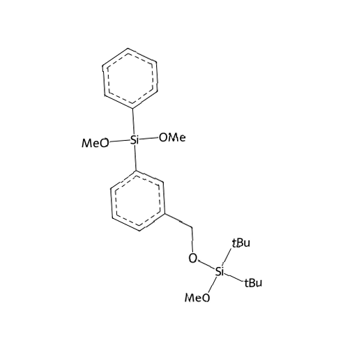 CO[Si](OC)(c1ccccc1)c1cccc(CO[Si](OC)(C(C)(C)C)C(C)(C)C)c1